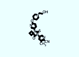 Cc1cc(N2C(=O)C3(CCC3)N(c3ccc(OC4CCN(CCO)CC4)nc3)C2=S)cnc1C#N